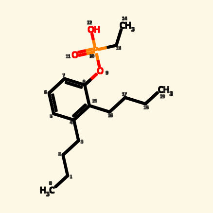 CCCCc1cccc(OP(=O)(O)CC)c1CCCC